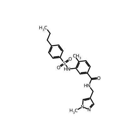 CCCc1ccc(S(=O)(=O)Nc2cc(C(=O)NCc3cnn(C)c3)ccc2C)cc1